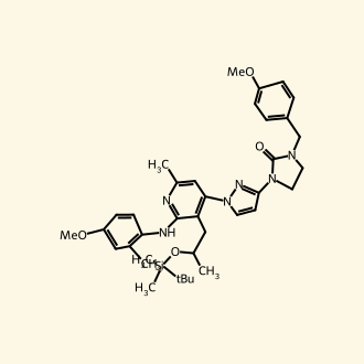 COc1ccc(CN2CCN(c3ccn(-c4cc(C)nc(Nc5ccc(OC)cc5C)c4CC(C)O[Si](C)(C)C(C)(C)C)n3)C2=O)cc1